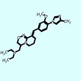 CCN(CC)CC1CON=C2/C(=C/c3ccc(-n4cnc(C)c4)c(OC)c3)CCCN21